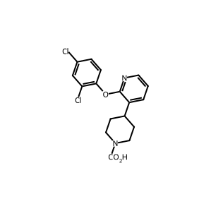 O=C(O)N1CCC(c2cccnc2Oc2ccc(Cl)cc2Cl)CC1